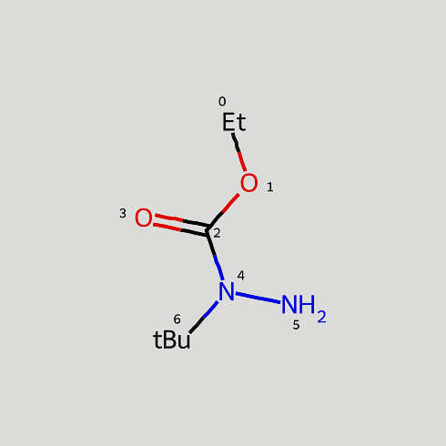 CCOC(=O)N(N)C(C)(C)C